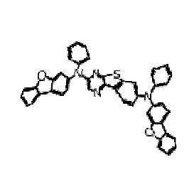 c1ccc(N(c2ccc3c(c2)oc2ccccc23)c2ccc3c(c2)sc2nc(N(c4ccccc4)c4ccc5c(c4)oc4ccccc45)cnc23)cc1